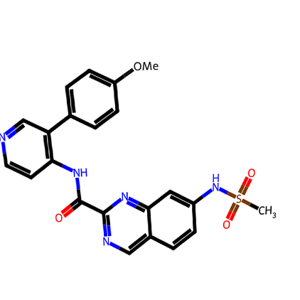 COc1ccc(-c2cnccc2NC(=O)c2ncc3ccc(NS(C)(=O)=O)cc3n2)cc1